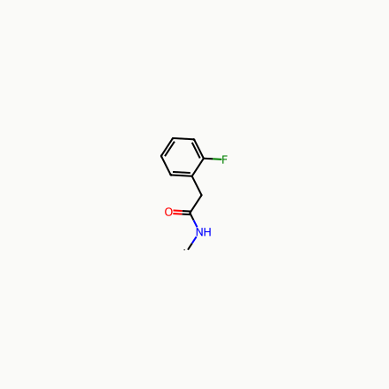 [CH2]NC(=O)Cc1ccccc1F